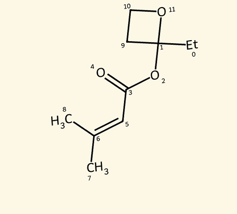 CCC1(OC(=O)C=C(C)C)CCO1